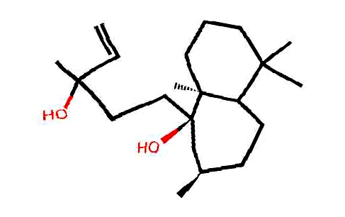 C=CC(C)(O)CC[C@@]1(O)[C@H](C)CCC2C(C)(C)CCC[C@@]21C